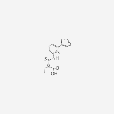 CCN(C(=O)O)C(=S)Nc1cccc(-c2ccoc2)n1